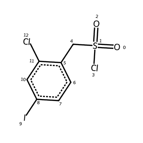 O=S(=O)(Cl)Cc1ccc(I)cc1Cl